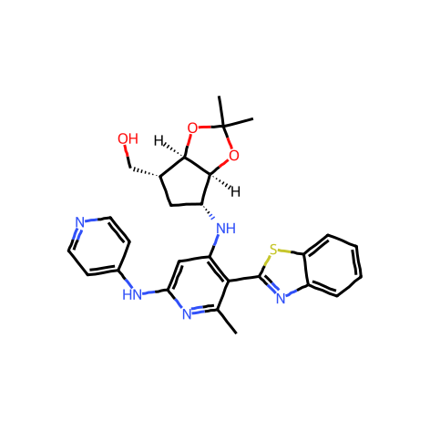 Cc1nc(Nc2ccncc2)cc(N[C@@H]2C[C@H](CO)[C@H]3OC(C)(C)O[C@H]32)c1-c1nc2ccccc2s1